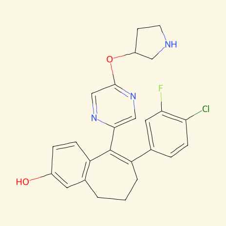 Oc1ccc2c(c1)CCCC(c1ccc(Cl)c(F)c1)=C2c1cnc(OC2CCNC2)cn1